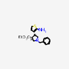 CCOC(=O)[C@@H]1CN(Cc2ccccc2)C[C@H]1c1ccsc1N